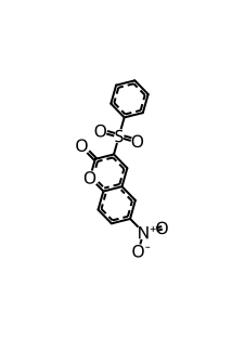 O=c1oc2ccc([N+](=O)[O-])cc2cc1S(=O)(=O)c1ccccc1